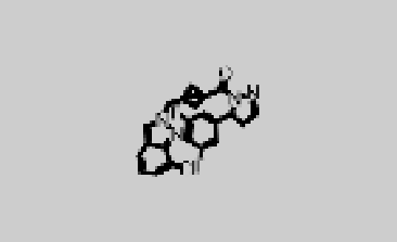 O=C(N1N=CCC1c1cc(F)cc(F)c1)C12CC(Cn3cc4cccc(Cl)c4n3)(C1)C2